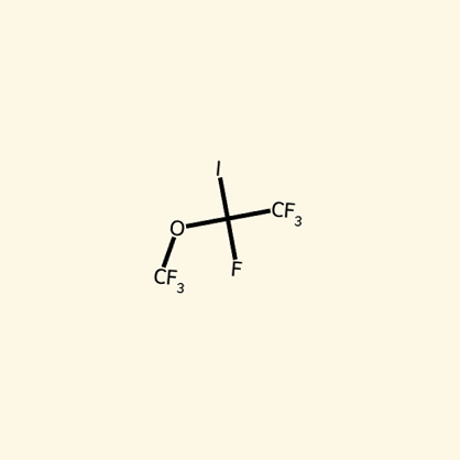 FC(F)(F)OC(F)(I)C(F)(F)F